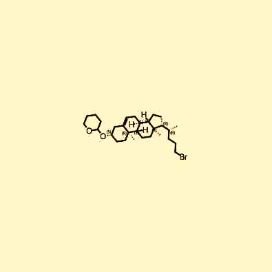 C[C@H](CCCBr)[C@H]1CC[C@H]2[C@@H]3CC=C4C[C@@H](OC5CCCCO5)CC[C@]4(C)[C@H]3CC[C@]12C